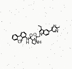 CCc1cn(CC(=O)N2NCCC2C(=O)Nc2cccc(-c3ccccc3Cl)c2F)c2ccc(-c3cnc(C)nc3)cc12